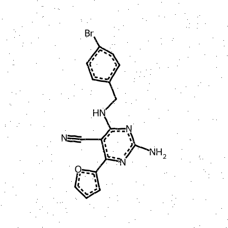 N#Cc1c(NCc2ccc(Br)cc2)nc(N)nc1-c1ccco1